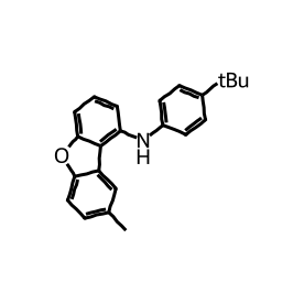 Cc1ccc2oc3cccc(Nc4ccc(C(C)(C)C)cc4)c3c2c1